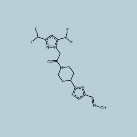 O=C(Cn1nc(C(F)F)cc1C(F)F)N1CCC(c2nc(C=NO)cs2)CC1